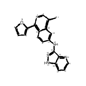 Fc1cnc(-c2ccco2)c2ccc(Nc3n[nH]c4cccnc34)cc12